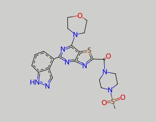 CS(=O)(=O)N1CCN(C(=O)c2nc3nc(-c4cccc5[nH]ncc45)nc(N4CCOCC4)c3s2)CC1